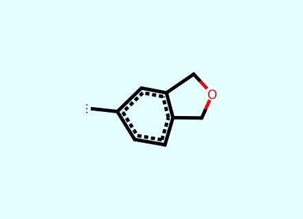 [C]c1ccc2c(c1)COC2